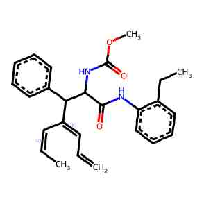 C=C/C=C(\C=C/C)C(c1ccccc1)C(NC(=O)OC)C(=O)Nc1ccccc1CC